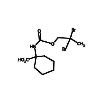 CC(Br)(Br)COC(=O)NC1(C(=O)O)CCCCC1